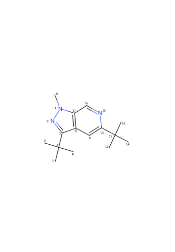 Cn1nc(C(C)(C)C)c2cc(C(C)(C)C)ncc21